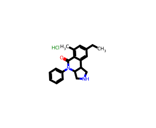 CCc1cc(C)c2c(c1)C1CNCC1N(c1ccccc1)C2=O.Cl